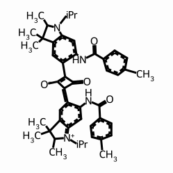 Cc1ccc(C(=O)Nc2cc3c(cc2C2=C([O-])/C(=c4\cc5c(cc4NC(=O)c4ccc(C)cc4)=[N+](C(C)C)C(C)C5(C)C)C2=O)C(C)(C)C(C)N3C(C)C)cc1